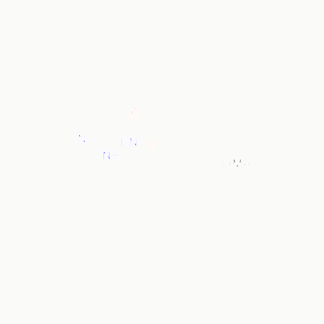 COc1ccc(CONC(=O)c2cccnc2NCc2ccccc2)cc1